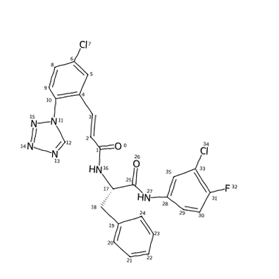 O=C(/C=C/c1cc(Cl)ccc1-n1cnnn1)N[C@@H](Cc1ccccc1)C(=O)Nc1ccc(F)c(Cl)c1